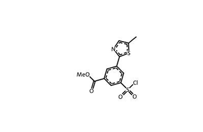 COC(=O)c1cc(-c2ncc(C)s2)cc(S(=O)(=O)Cl)c1